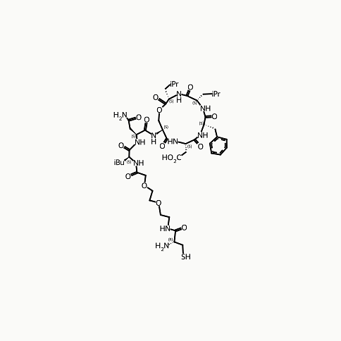 CCC(C)[C@H](NC(=O)COCCOCCNC(=O)[C@@H](N)CS)C(=O)N[C@@H](CC(N)=O)C(=O)N[C@H]1COC(=O)[C@H](CC(C)C)NC(=O)[C@H](CC(C)C)NC(=O)[C@H](Cc2ccccc2)NC(=O)[C@H](CC(=O)O)NC1=O